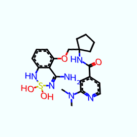 CN(C)c1cc(C(=O)NC2(COc3cccc4c3C(N)=NS(O)(O)N4)CCCC2)ccn1